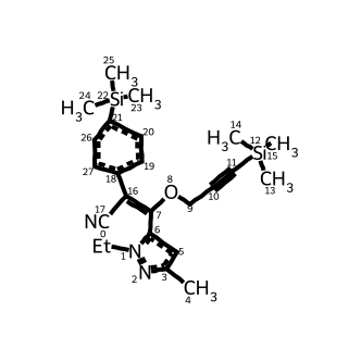 CCn1nc(C)cc1C(OCC#C[Si](C)(C)C)=C(C#N)c1ccc([Si](C)(C)C)cc1